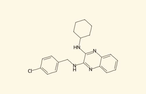 Clc1ccc(CNc2nc3ccccc3nc2NC2CCCCC2)cc1